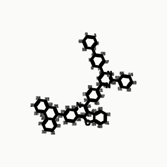 c1ccc(-c2ccc(-c3cc(-c4ccc(-c5nc6cc(-c7cc8ccccc8c8ccccc78)ccc6c6oc7ccccc7c56)cc4)nc(-c4ccccc4)n3)cc2)cc1